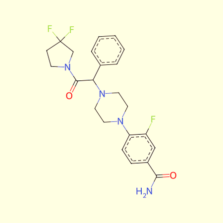 NC(=O)c1ccc(N2CCN(C(C(=O)N3CCC(F)(F)C3)c3ccccc3)CC2)c(F)c1